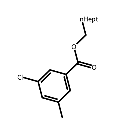 CCCCCCCCOC(=O)c1cc(C)cc(Cl)c1